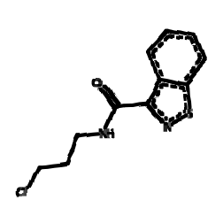 O=C(NCCCCl)c1nsc2ccccc12